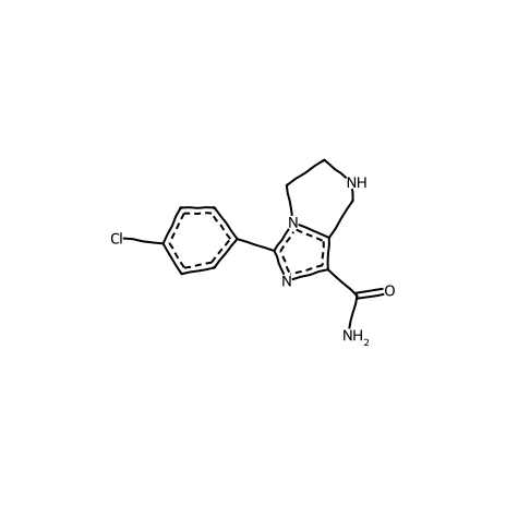 NC(=O)c1nc(-c2ccc(Cl)cc2)n2c1CNCC2